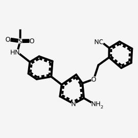 CS(=O)(=O)Nc1ccc(-c2cnc(N)c(OCc3ccccc3C#N)c2)cc1